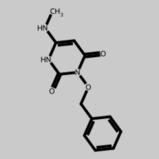 CNc1cc(=O)n(OCc2ccccc2)c(=O)[nH]1